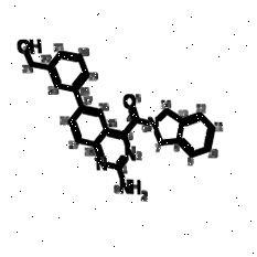 Nc1nc(C(=O)N2Cc3ccccc3C2)c2cc(-c3cccc(CO)c3)ccc2n1